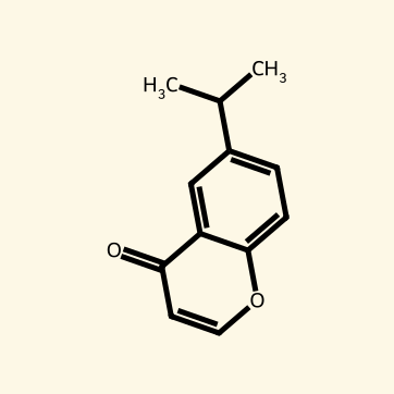 CC(C)c1ccc2occc(=O)c2c1